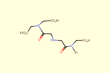 CCOC(=O)CN(CC(=O)OCC)C(=O)CNCC(=O)N(CC)CC(=O)O